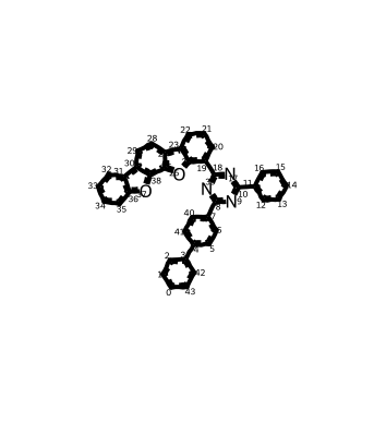 c1ccc(-c2ccc(-c3nc(-c4ccccc4)nc(-c4cccc5c4oc4c5ccc5c6ccccc6oc54)n3)cc2)cc1